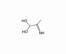 CC(=N)C(O)O